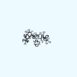 CC[C@@H]1COCCN1C[C@H]1CN(C(=O)OC(C)(C)C)[C@H](C)CN1CC(=O)N1CC(C)(C)c2ncc(C(C)(F)F)cc21